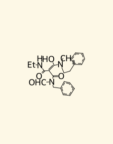 CCNC(=O)/C(C(=O)N(C=O)Cc1ccccc1)=C(\O)N(C)CCc1ccccc1